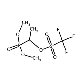 COP(=O)(OC)C(C)OS(=O)(=O)C(F)(F)F